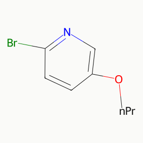 CCCOc1ccc(Br)nc1